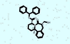 O=C(OC(c1ccccc1)c1ccccc1)[C@@H]1CCC[C@@H]2c3ccccc3C[C@H](CS)C(=O)N21